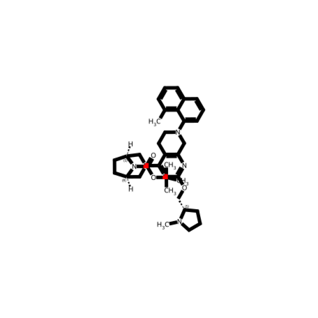 Cc1cccc2cccc(N3CCc4c(nc(OC[C@@H]5CCCN5C)nc4N4C[C@H]5CC[C@@H](C4)N5C(=O)OC(C)(C)C)C3)c12